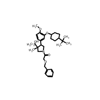 COc1ccc(C2CN(C(=O)COCc3ccccc3)CC2(C)[C@H](C)O)cc1OC1CCC(C(C)(C)C)CC1